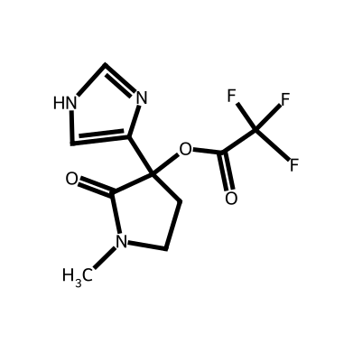 CN1CCC(OC(=O)C(F)(F)F)(c2c[nH]cn2)C1=O